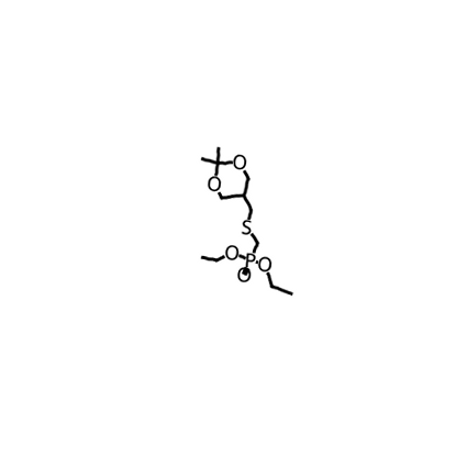 CCOP(=O)(CSCC1COC(C)(C)OC1)OCC